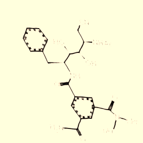 CCCN(CCC)C(=O)c1cc(C(N)=O)cc(C(=O)N[C@@H](Cc2ccccc2)[C@@H](O)[C@H](O)[C@@H](CC#N)NC(C)=O)c1